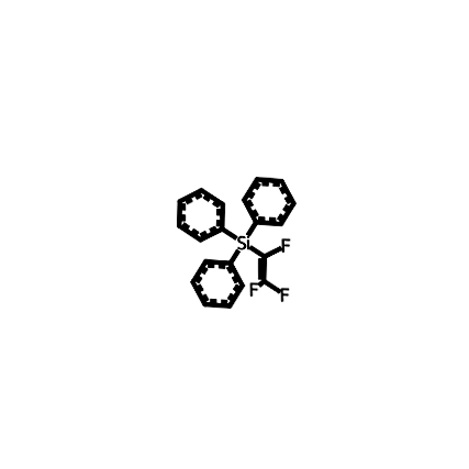 FC(F)=C(F)[Si](c1ccccc1)(c1ccccc1)c1ccccc1